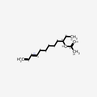 C=C/C=C/CCCCCC(CC)OC(C)=O